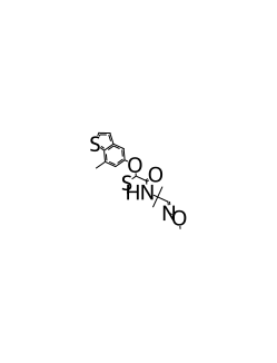 CO/N=C/C(C)(C)NC(=O)C(Oc1cc(C)c2sccc2c1)SC